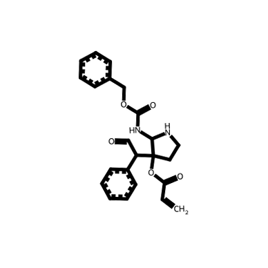 C=CC(=O)OC1(C(C=O)c2ccccc2)CCNC1NC(=O)OCc1ccccc1